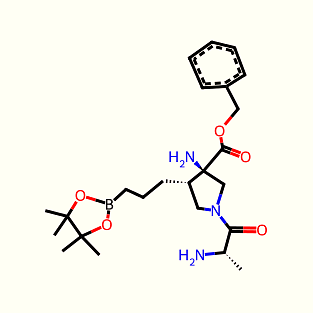 C[C@H](N)C(=O)N1C[C@H](CCCB2OC(C)(C)C(C)(C)O2)[C@](N)(C(=O)OCc2ccccc2)C1